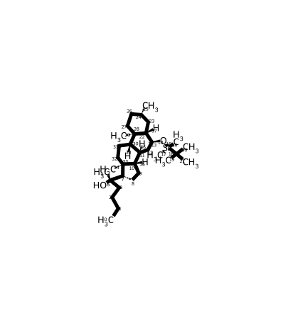 CCCC[C@](C)(O)[C@H]1CC[C@H]2[C@@H]3C[C@H](O[Si](C)(C)C(C)(C)C)[C@H]4C[C@@H](C)CC[C@]4(C)[C@H]3CC[C@@]21C